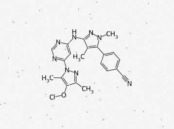 Cc1nn(-c2cc(Nc3nn(C)c(-c4ccc(C#N)cc4)c3C)ncn2)c(C)c1OCl